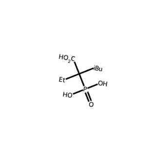 CCC(C)C(CC)(C(=O)O)P(=O)(O)O